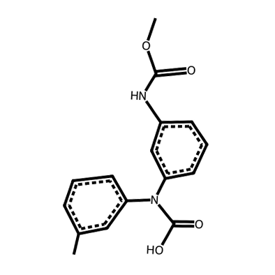 COC(=O)Nc1cccc(N(C(=O)O)c2cccc(C)c2)c1